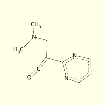 CN(C)CC(=C=O)c1ncccn1